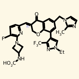 CCn1cc(-c2cc(Cn3ccnc3C)cc3c2OC/C(=C\c2ccc(F)c(N4CC(NC(=O)O)C4)n2)C3=O)c(C(F)(F)F)n1